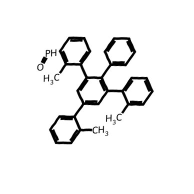 Cc1ccccc1-c1cc(-c2ccccc2C)c(-c2ccccc2)c(-c2ccccc2C)c1.O=P